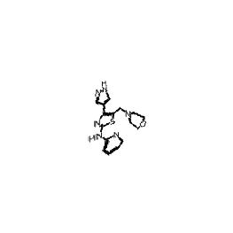 c1ccc(Nc2nc(-c3cn[nH]c3)c(CN3CCOCC3)s2)nc1